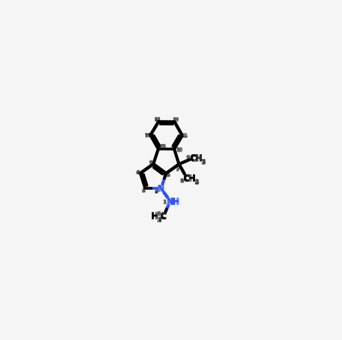 CNn1ccc2c1C(C)(C)c1ccccc1-2